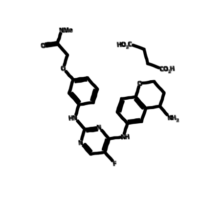 CNC(=O)COc1cccc(Nc2ncc(F)c(Nc3ccc4c(c3)C(N)CCO4)n2)c1.O=C(O)CCC(=O)O